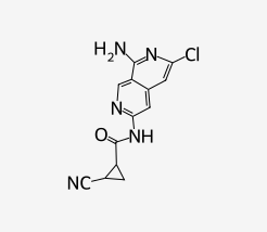 N#CC1CC1C(=O)Nc1cc2cc(Cl)nc(N)c2cn1